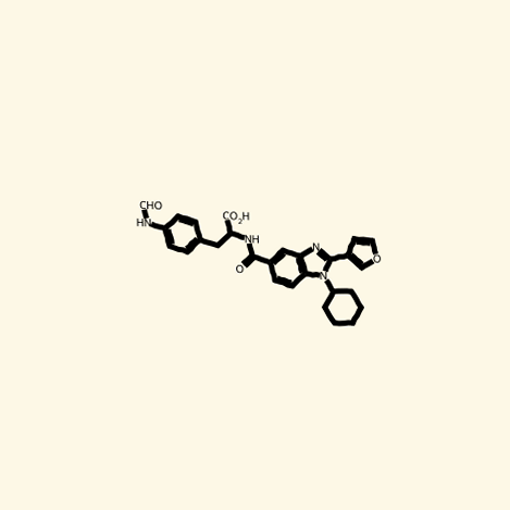 O=CNc1ccc(CC(NC(=O)c2ccc3c(c2)nc(-c2ccoc2)n3C2CCCCC2)C(=O)O)cc1